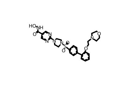 O=C(NO)c1cnc(N2CCN(S(=O)(=O)c3ccc(-c4ccccc4OCCN4CCOCC4)cc3)CC2)nc1